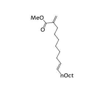 C=C(CCCCCCC=CCCCCCCCC)C(=O)OC